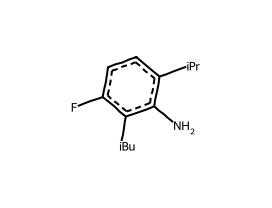 CCC(C)c1c(F)ccc(C(C)C)c1N